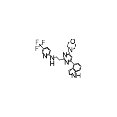 FC(F)(F)c1ccc(NCCc2nc(-c3cccc4[nH]ccc34)cc(N3CCOCC3)n2)nc1